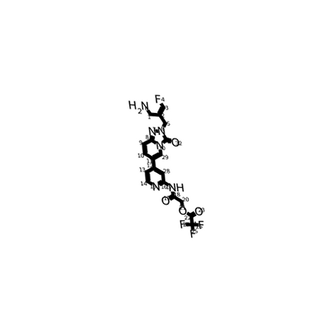 NC/C(=C\F)Cn1nc2ccc(-c3ccnc(NC(=O)COC(=O)C(F)(F)F)c3)cn2c1=O